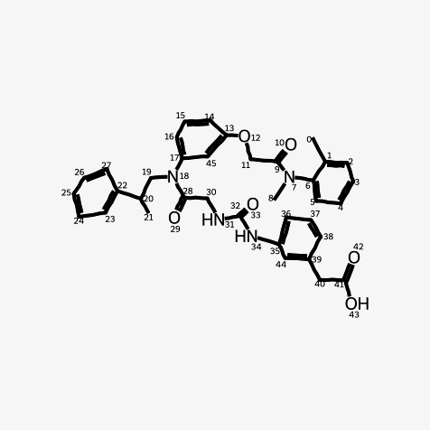 Cc1ccccc1N(C)C(=O)COc1cccc(N(CC(C)c2ccccc2)C(=O)CNC(=O)Nc2cccc(CC(=O)O)c2)c1